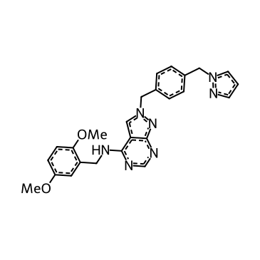 COc1ccc(OC)c(CNc2ncnc3nn(Cc4ccc(Cn5cccn5)cc4)cc23)c1